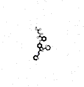 COC(=O)CNC(=O)c1ccccc1Sc1ccc2c(/C=C/c3ccccn3)nn(C3CCCCO3)c2c1